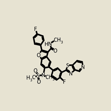 CNC(=O)c1c(-c2ccc(F)cc2)oc2cc(N(C)S(C)(=O)=O)c(-c3ccc(F)c(-c4nc5cnccc5s4)c3)cc12